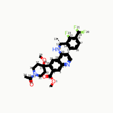 COC(=O)c1cc2nccc(N[C@H](C)c3cccc(C(F)F)c3F)c2cc1C1(OC)CCN(C(C)=O)CC1